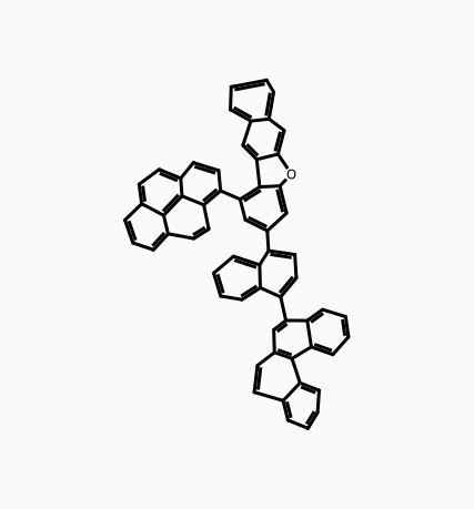 c1ccc2cc3c(cc2c1)oc1cc(-c2ccc(-c4cc5ccc6ccccc6c5c5ccccc45)c4ccccc24)cc(-c2ccc4ccc5cccc6ccc2c4c56)c13